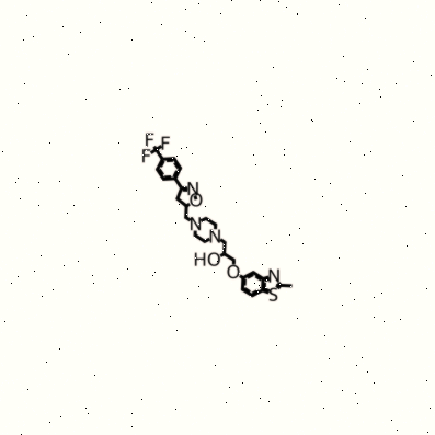 Cc1nc2cc(OCC(O)CN3CCN(CC4CC(c5ccc(C(F)(F)F)cc5)=NO4)CC3)ccc2s1